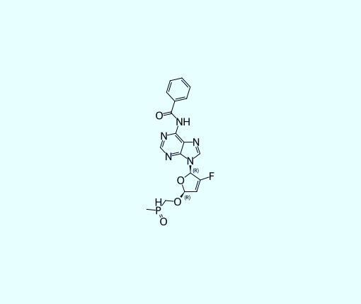 C[PH](=O)CO[C@@H]1C=C(F)[C@H](n2cnc3c(NC(=O)c4ccccc4)ncnc32)O1